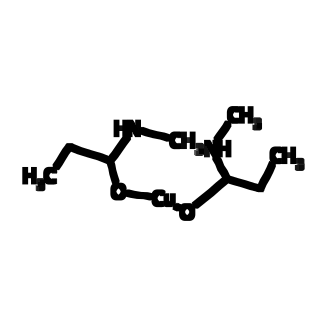 CCC(NC)[O][Cu][O]C(CC)NC